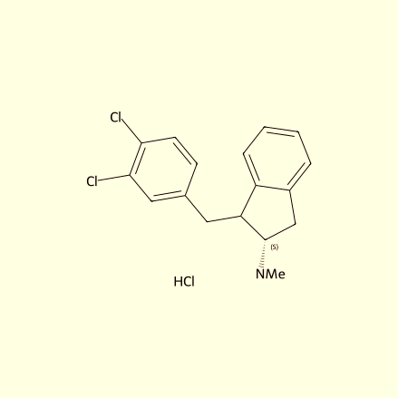 CN[C@H]1Cc2ccccc2C1Cc1ccc(Cl)c(Cl)c1.Cl